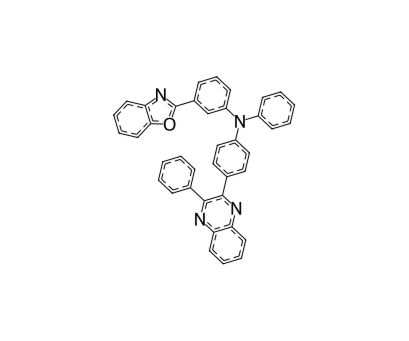 c1ccc(-c2nc3ccccc3nc2-c2ccc(N(c3ccccc3)c3cccc(-c4nc5ccccc5o4)c3)cc2)cc1